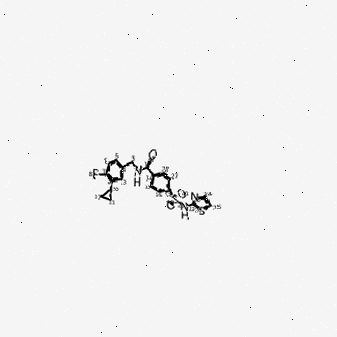 O=C(NCc1ccc(F)c(C2CC2)c1)c1ccc(S(=O)(=O)Nc2nccs2)cc1